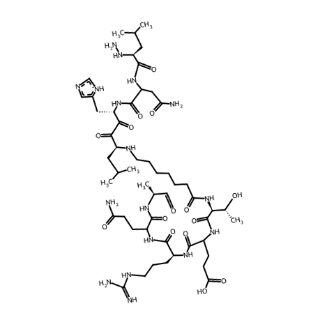 CC(C)C[C@H](NN)C(=O)NC(CC(N)=O)C(=O)N[C@@H](Cc1cnc[nH]1)C(=O)C(=O)[C@H](CC(C)C)NCCCCCCC(=O)N[C@H](C(=O)NC(CCC(=O)O)C(=O)N[C@@H](CCCNC(=N)N)C(=O)NC(CCC(N)=O)C(=O)N[C@@H](C)C=O)[C@@H](C)O